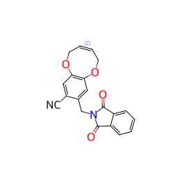 N#Cc1cc2c(cc1CN1C(=O)c3ccccc3C1=O)OC/C=C\CO2